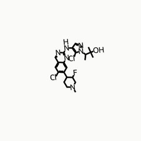 CC(n1ncc(Nc2ncc3cc(Cl)c(C4CCN(C)CC4F)cc3n2)c1Cl)C(C)(C)O